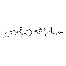 CN(C(=O)NCC(C)(C)O)C12CCC(c3ccc(NC(=O)N4Cc5ccc(F)cc5C4)cc3)(CC1)CC2